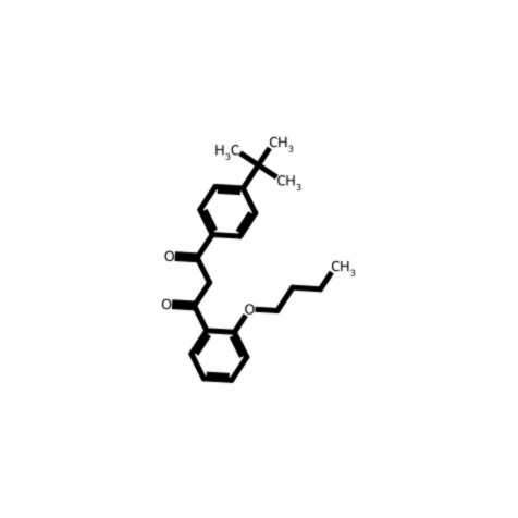 CCCCOc1ccccc1C(=O)CC(=O)c1ccc(C(C)(C)C)cc1